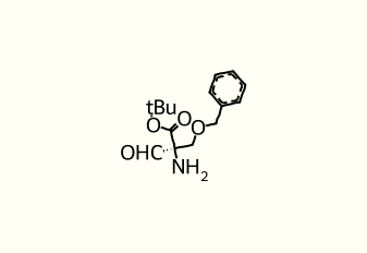 CC(C)(C)OC(=O)[C@@](N)(C=O)COCc1ccccc1